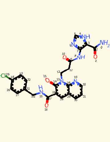 NC(=O)c1[nH]cnc1NC(=O)CCn1c(=O)c(C(=O)NCc2ccc(Cl)cc2)cc2cccnc21